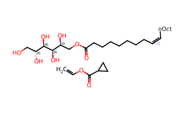 C=COC(=O)C1CC1.CCCCCCCC/C=C\CCCCCCCC(=O)OC[C@H](O)[C@@H](O)[C@H](O)[C@H](O)CO